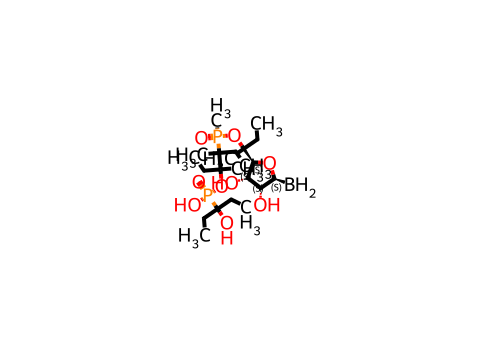 B[C@@H]1O[C@H](C(C)(CC)OP(C)(=O)C(C)(CC)C(C)(CC)OP(=O)(O)C(O)(CC)CC)[C@@H](O)[C@H]1O